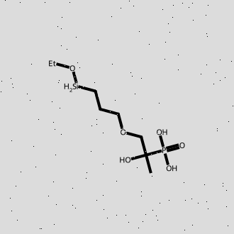 CCO[SiH2]CCCOCC(C)(O)P(=O)(O)O